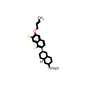 C/C=C/COc1cc2ccc([C@@H]3CC[C@@H]4CC(CCCCCCC)CCC4C3)c(F)c2cc1F